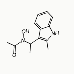 CC(=O)N(O)C(C)c1c(C)[nH]c2ccccc12